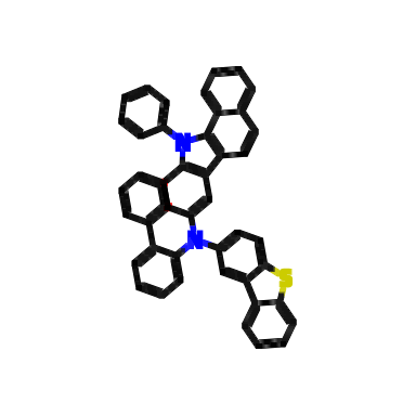 C1=C=C(c2ccccc2N(C2=Cc3c(n(-c4ccccc4)c4c3ccc3ccccc34)CC2)c2ccc3sc4ccccc4c3c2)C=CC=1